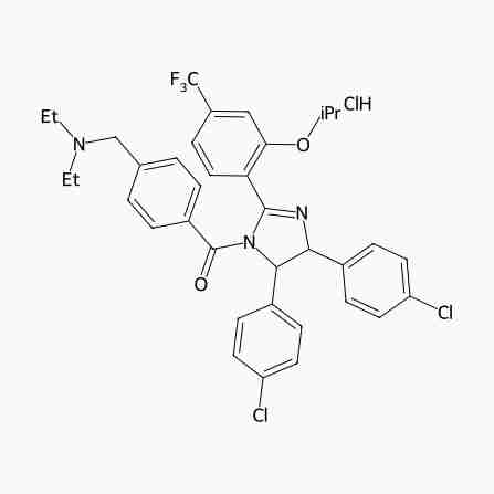 CCN(CC)Cc1ccc(C(=O)N2C(c3ccc(C(F)(F)F)cc3OC(C)C)=NC(c3ccc(Cl)cc3)C2c2ccc(Cl)cc2)cc1.Cl